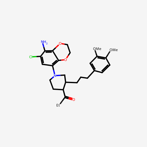 CCC(=O)C1CCN(c2cc(Cl)c(N)c3c2OCCO3)CC1CCCc1ccc(OC)c(OC)c1